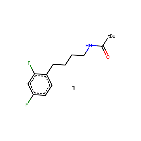 CC(C)(C)C(=O)NCCCCc1ccc(F)[c]c1F.[Ti]